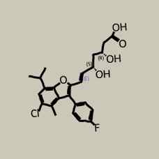 Cc1c(Cl)cc(C(C)C)c2oc(/C=C/[C@@H](O)C[C@@H](O)CC(=O)O)c(-c3ccc(F)cc3)c12